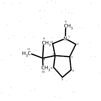 CN1CC2CCCC2(C(C)(C)C)C1